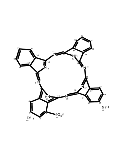 O=S(=O)(O)c1cccc2c3nc4nc(nc5[nH]c(nc6nc(nc([nH]3)c12)-c1ccccc1-6)c1ccccc51)-c1ccccc1-4.[InH3].[NaH]